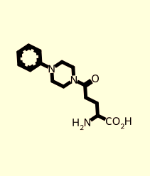 NC(CCC(=O)N1CCN(c2ccccc2)CC1)C(=O)O